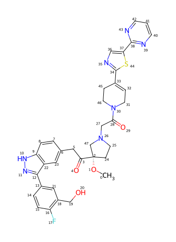 CO[C@@]1(C(=O)Cc2ccc3[nH]nc(-c4ccc(F)c(CO)c4)c3c2)CCN(CC(=O)N2CC=C(c3ncc(-c4ncccn4)s3)CC2)C1